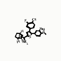 Cn1nnc2cc(-c3sc(C(=O)N4[C@@H]5CC[C@H]4[C@H](N)C5)cc3-c3ccc(C#N)c(F)c3)ccc21